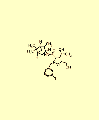 CC1[C@@H](NC(=O)[C@@H]2[C@H]([C@H](C)O)C(CO)ON2Cc2cccc(I)c2)C[C@H]2C[C@@H]1C2(C)C